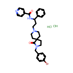 Cl.Cl.O=C(NC(CCN1CCC2(CC1)CCN(Cc1ccc(Br)cc1)C2=O)c1ccccc1)c1ccncc1